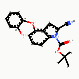 CC(C)(C)OC(=O)n1c(C#N)cc2c(Oc3ccccc3O)cccc21